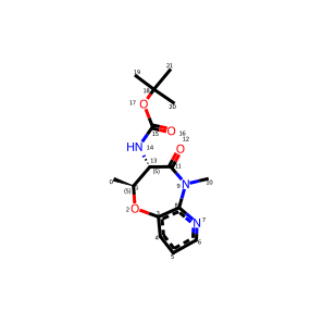 C[C@@H]1Oc2cccnc2N(C)C(=O)[C@H]1NC(=O)OC(C)(C)C